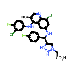 N#Cc1cnc2c(Cl)cc(NC(C3=CN(CC(=O)O)NN3)c3ccc(F)cc3)cc2c1Nc1ccc(F)c(Cl)c1